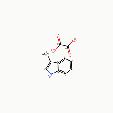 CNc1c[nH]c2ccccc12.O=C(O)C(=O)O